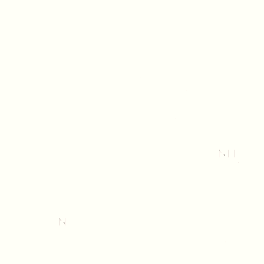 COc1ccc(-c2ccccn2)cc1C(N)c1cc2ccccc2o1